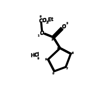 CCOC(=O)OC(=O)C1CCCC1.Cl